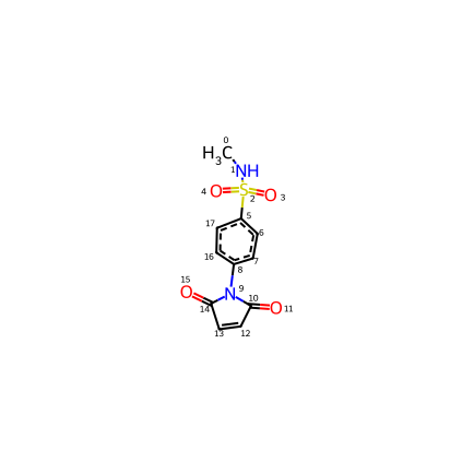 CNS(=O)(=O)c1ccc(N2C(=O)C=CC2=O)cc1